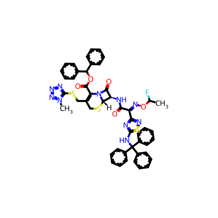 CC(F)ON=C(C(=O)N[C@@H]1C(=O)N2C(C(=O)OC(c3ccccc3)c3ccccc3)=C(CSc3nnnn3C)CS[C@@H]12)c1nsc(NC(c2ccccc2)(c2ccccc2)c2ccccc2)n1